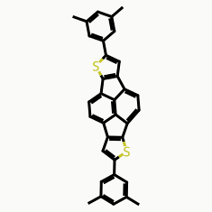 Cc1cc(C)cc(-c2cc3c(s2)-c2ccc4c5c(ccc-3c25)-c2sc(-c3cc(C)cc(C)c3)cc2-4)c1